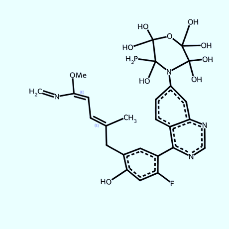 C=N/C(=C\C=C(/C)Cc1cc(-c2ncnc3cc(N4C(O)(O)C(O)(O)OC(O)(O)C4(O)P)ccc23)c(F)cc1O)OC